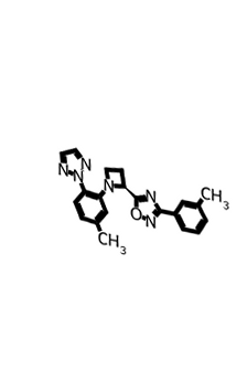 Cc1cccc(-c2noc([C@@H]3CCN3c3cc(C)ccc3-n3nccn3)n2)c1